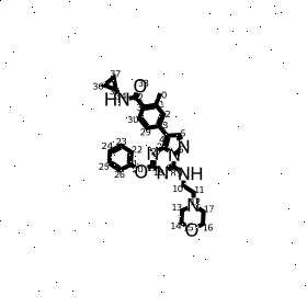 Cc1cc(-c2cnn3c(NCCN4CCOCC4)nc(Oc4ccccc4)nc23)ccc1C(=O)NC1CC1